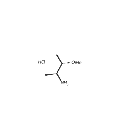 CO[C@@H](C)[C@H](C)N.Cl